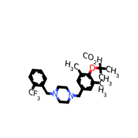 Cc1cc(CN2CCN(Cc3ccccc3C(F)(F)F)CC2)cc(C)c1OC(C)(C)C(=O)O